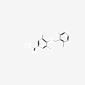 O=C(O)c1cc(I)c(OCc2c(F)cccc2F)c(I)c1